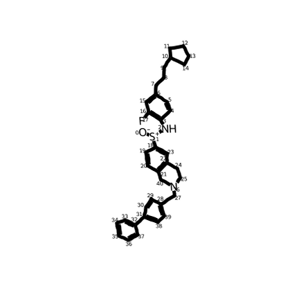 [O-][S+](Nc1ccc(CCCC2CCCC2)cc1F)c1ccc2c(c1)CCN(Cc1ccc(-c3ccccc3)cc1)C2